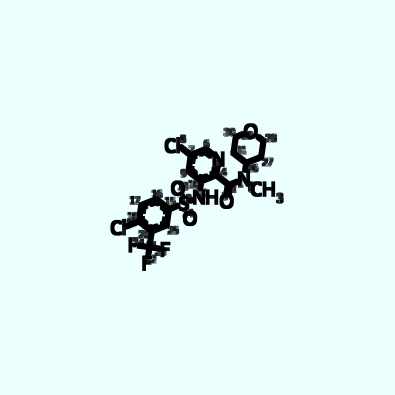 CN(C(=O)c1ncc(Cl)cc1NS(=O)(=O)c1ccc(Cl)c(C(F)(F)F)c1)C1CCOCC1